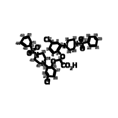 O=C(O)C(Oc1ccc(Cl)cc1N1CCN(S(=O)(=O)c2ccccc2)CC1)Oc1ccc(Cl)cc1N1CCN(S(=O)(=O)c2ccccc2)CC1